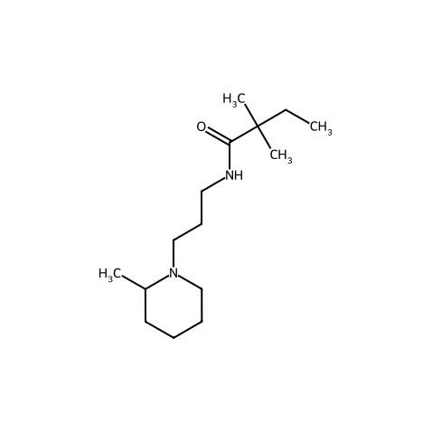 CCC(C)(C)C(=O)NCCCN1CCCCC1C